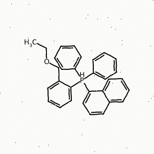 CCOCc1ccccc1[PH](c1ccccc1)(c1ccccc1)c1cccc2ccccc12